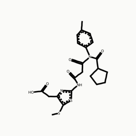 CSc1sc(NC(=O)CC(=O)N(C(=O)C2CCCC2)c2ccc(C)cc2)nc1CC(=O)O